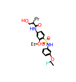 CCOc1cc(NC(=O)[C@@H](CO)C(C)C)ccc1S(=O)(=O)Nc1cccc(OC(C)F)c1